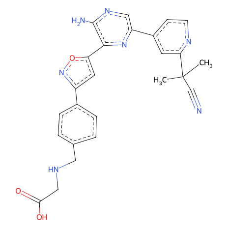 CC(C)(C#N)c1cc(-c2cnc(N)c(-c3cc(-c4ccc(CNCC(=O)O)cc4)no3)n2)ccn1